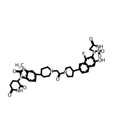 Cn1c(=O)n(C2CCC(=O)NC2=O)c2ccc(C3CCN(CC(=O)N4CCC(c5ccc6cc(O)c(N7CC(=O)NS7(=O)=O)c(F)c6c5)CC4)CC3)cc21